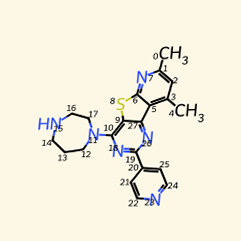 Cc1cc(C)c2c(n1)sc1c(N3CCCNCC3)nc(-c3ccncc3)nc12